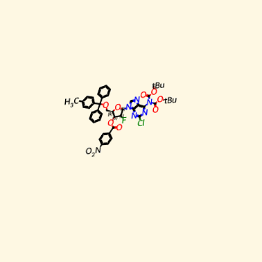 Cc1ccc(C(OC[C@H]2O[C@@H](n3cnc4c(N(C(=O)OC(C)(C)C)C(=O)OC(C)(C)C)nc(Cl)nc43)[C@@H](F)[C@H]2OC(=O)c2ccc([N+](=O)[O-])cc2)(c2ccccc2)c2ccccc2)cc1